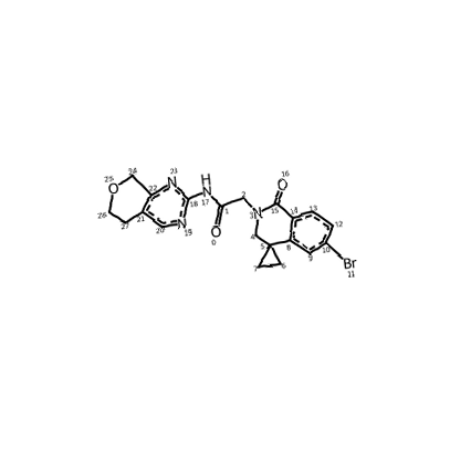 O=C(CN1CC2(CC2)c2cc(Br)ccc2C1=O)Nc1ncc2c(n1)COCC2